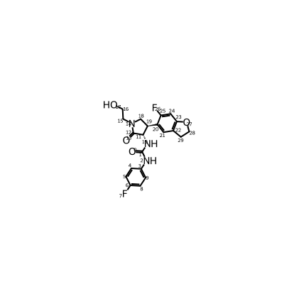 O=C(Nc1ccc(F)cc1)N[C@@H]1C(=O)N(CCO)C[C@H]1c1cc2c(cc1F)OCC2